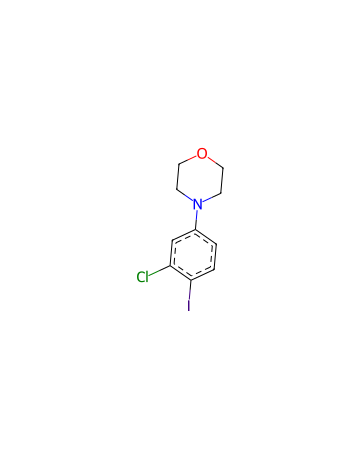 Clc1cc(N2CCOCC2)ccc1I